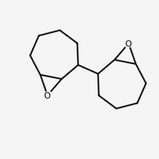 C1CCC(C2CCCCC3OC32)C2OC2C1